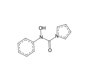 O=C(N(O)c1ccccc1)n1cccc1